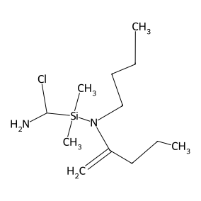 C=C(CCC)N(CCCC)[Si](C)(C)C(N)Cl